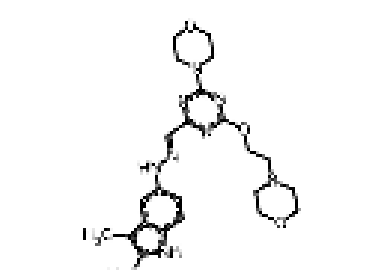 Cc1[nH]c2ccc(N/N=C/c3nc(OCCN4CCOCC4)nc(N4CCOCC4)n3)cc2c1C